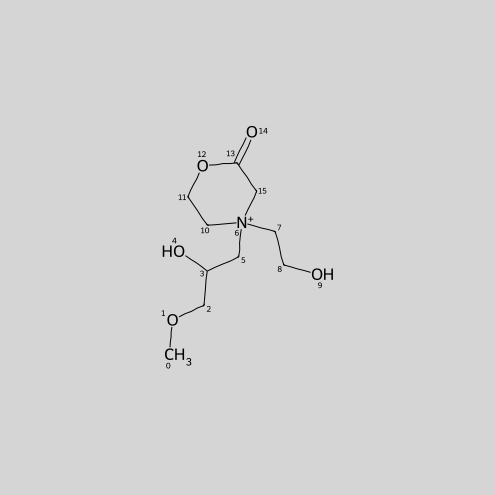 COCC(O)C[N+]1(CCO)CCOC(=O)C1